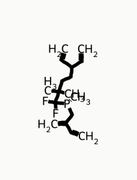 C=CC(=C)CP(C)C(F)(F)C(C)(C)CCC(C=C)C=C